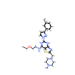 CCOCCNc1nc(-n2ccc(-c3cccc(C)c3)n2)nc2nc(CN3CCN(C)CC3)sc12